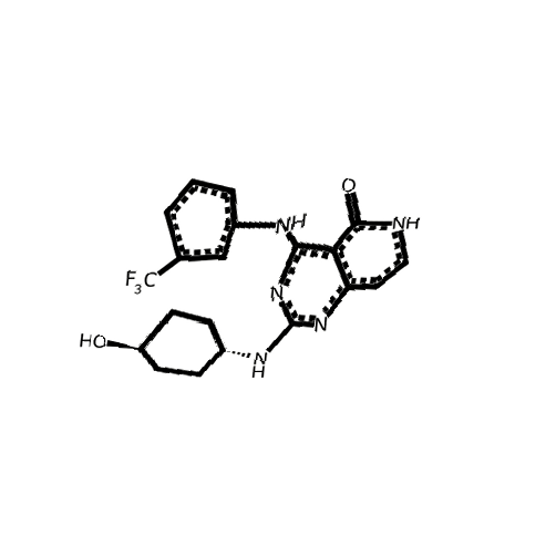 O=c1[nH]ccc2nc(N[C@H]3CC[C@H](O)CC3)nc(Nc3cccc(C(F)(F)F)c3)c12